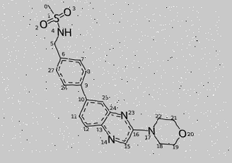 CS(=O)(=O)NCc1ccc(-c2ccc3ncc(N4CCOCC4)nc3c2)cc1